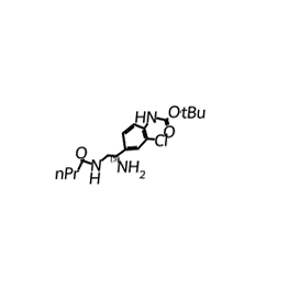 CCCC(=O)NC[C@@H](N)c1ccc(NC(=O)OC(C)(C)C)c(Cl)c1